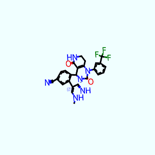 CN/C=C(\C=N)c1cc(C#N)ccc1C1C2=C(CCNC2=O)N(c2cccc(C(F)(F)F)c2)C(=O)N1C